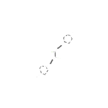 CCCCc1ccc(C#C/C(F)=C(\F)C#Cc2ccc(CC)cc2)cc1